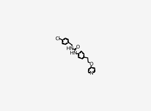 O=C(NCc1ccc(Cl)cc1)Nc1ccc(CCOc2ccncc2)cc1